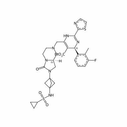 CCOC(=O)C1=C(CN2CCN3C(=O)N(C45CC(NS(=O)(=O)C6CC6)(C4)C5)C[C@@H]3C2)NC(c2nccs2)=N[C@H]1c1cccc(F)c1C